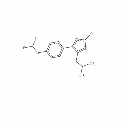 CC(C)Cc1sc(Cl)nc1-c1ccc(OC(F)F)cc1